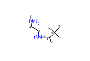 CC(NCCN)C(C)(C)C